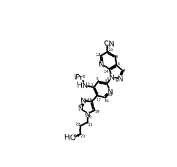 CC(C)Nc1cc(-n2ncc3cc(C#N)cnc32)ncc1-c1cn(CCCO)nn1